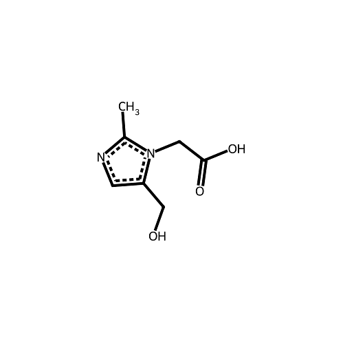 Cc1ncc(CO)n1CC(=O)O